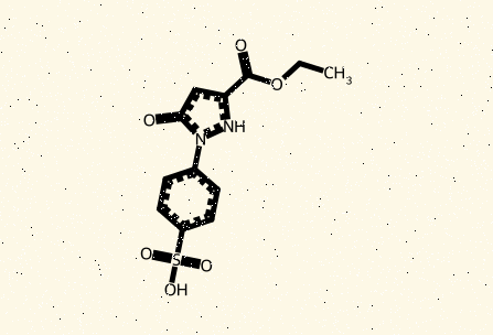 CCOC(=O)c1cc(=O)n(-c2ccc(S(=O)(=O)O)cc2)[nH]1